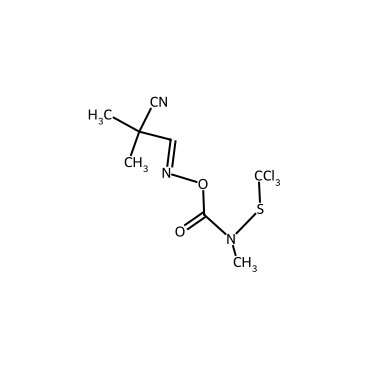 CN(SC(Cl)(Cl)Cl)C(=O)ON=CC(C)(C)C#N